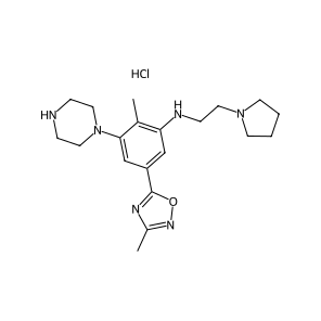 Cc1noc(-c2cc(NCCN3CCCC3)c(C)c(N3CCNCC3)c2)n1.Cl